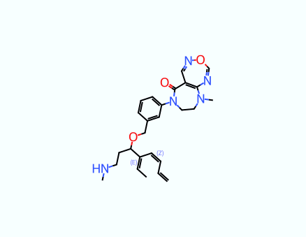 C=C/C=C\C(=C/C)C(CCNC)OCc1cccc(N2CCN(C)C3=C(C=NOC=N3)C2=O)c1